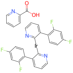 Fc1ccc(-c2cccn[c]2[Ir][c]2ncccc2-c2ccc(F)cc2F)c(F)c1.O=C(O)c1ccccn1